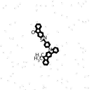 CC1(C)c2ccccc2-c2cc3c4ccccc4n(-c4ccc(-c5nc6cc7c(cc6s5)C(=O)c5ccccc5-7)cc4)c3cc21